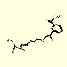 COC(=O)c1cccc(C(I)COCCOCCNC(=O)OC(C)(C)C)n1